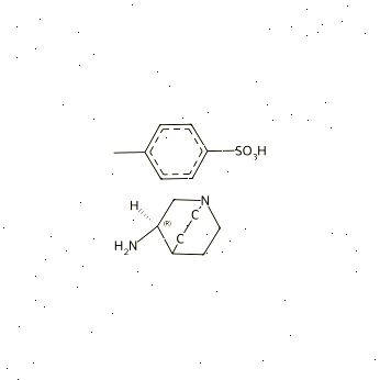 Cc1ccc(S(=O)(=O)O)cc1.N[C@H]1CN2CCC1CC2